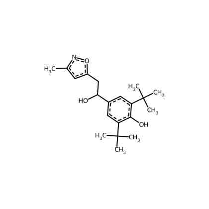 Cc1cc(CC(O)c2cc(C(C)(C)C)c(O)c(C(C)(C)C)c2)on1